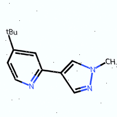 Cn1cc(-c2cc(C(C)(C)C)ccn2)cn1